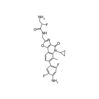 Cc1c(-c2cc(F)c(N)cc2F)ccc2c3oc(CNC(=O)C(F)CN)nc3c(=O)n(C3CC3)c12